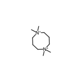 C[N+]1(C)CCC[N+](C)(C)CCC1